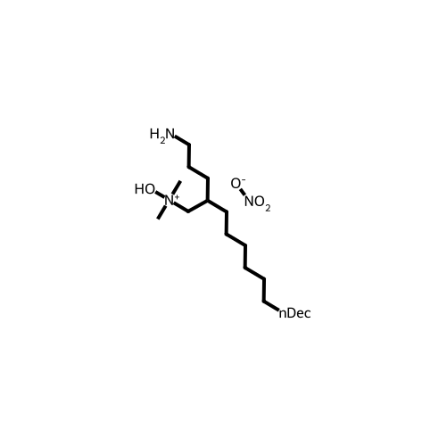 CCCCCCCCCCCCCCCCC(CCCN)C[N+](C)(C)O.O=[N+]([O-])[O-]